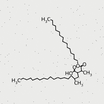 CCCCCCCCCCCCCCCCOC(=O)C(C)C(CC(C)CCCCCCCCCCCCCCCC)C(=O)O